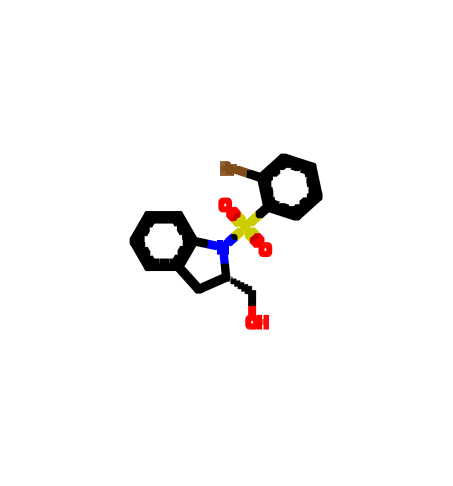 O=S(=O)(c1ccccc1Br)N1c2ccccc2C[C@H]1CO